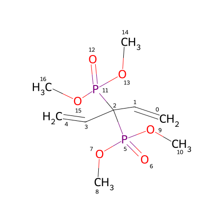 C=CC(C=C)(P(=O)(OC)OC)P(=O)(OC)OC